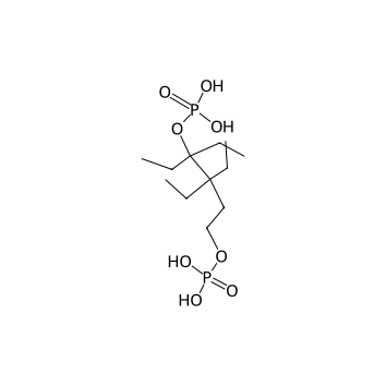 CCC(CC)(CCOP(=O)(O)O)C(CC)(CC)OP(=O)(O)O